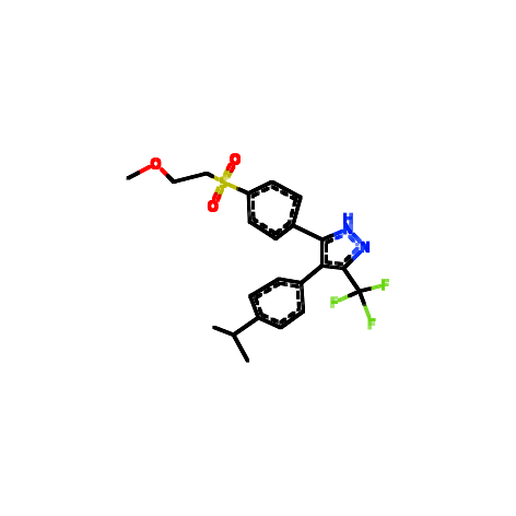 COCCS(=O)(=O)c1ccc(-c2[nH]nc(C(F)(F)F)c2-c2ccc(C(C)C)cc2)cc1